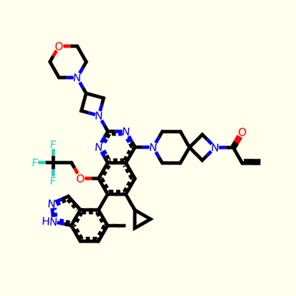 C=CC(=O)N1CC2(CCN(c3nc(N4CC(N5CCOCC5)C4)nc4c(OCC(F)(F)F)c(-c5c(C)ccc6[nH]ncc56)c(C5CC5)cc34)CC2)C1